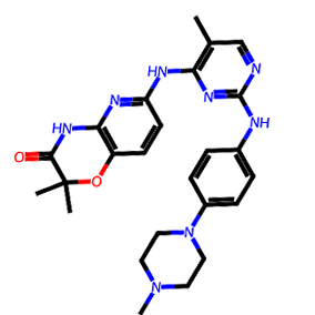 Cc1cnc(Nc2ccc(N3CCN(C)CC3)cc2)nc1Nc1ccc2c(n1)NC(=O)C(C)(C)O2